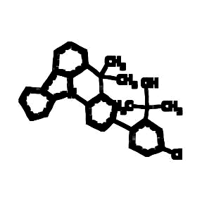 CC(C)(O)c1cc(Cl)ccc1-c1ccc2c(c1)C(C)(C)c1cccc3c4ccccc4n-2c13